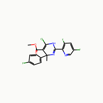 COC(=O)C1=C(Cl)NC(c2ncc(F)cc2F)=NC1(C)c1ccc(F)cc1